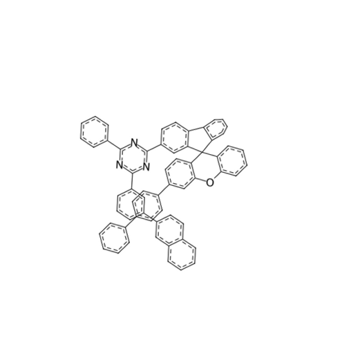 c1ccc(-c2ccc(-c3ccc4c(c3)Oc3ccccc3C43c4ccccc4-c4ccc(-c5nc(-c6ccccc6)nc(-c6cccc(-c7ccc8ccccc8c7)c6)n5)cc43)cc2)cc1